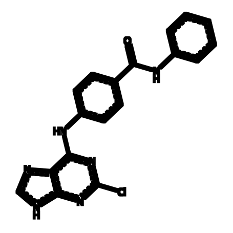 O=C(Nc1ccccc1)c1ccc(Nc2nc(Cl)nc3[nH]cnc23)cc1